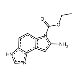 CCOC(=O)n1c(N)cc2c3nc[nH]c3ccc21